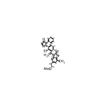 CCc1cc(-c2ccccc2-c2nnn[nH]2)ccc1[C@H](C)n1c(CC)nc2c(C)cc(CCOC)nc21